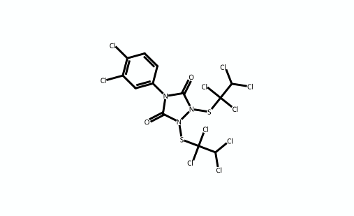 O=c1n(-c2ccc(Cl)c(Cl)c2)c(=O)n(SC(Cl)(Cl)C(Cl)Cl)n1SC(Cl)(Cl)C(Cl)Cl